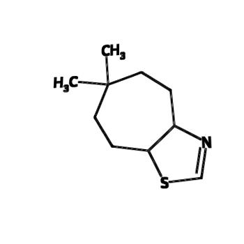 CC1(C)CCC2N=CSC2CC1